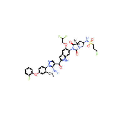 Cc1cc(Oc2ccccc2F)ccc1-n1ncc(C(=O)c2cc3cc(OCC(F)F)c(N4C(=O)[C@@H]5CC(NS(=O)(=O)CCCF)CN5C4=O)cc3[nH]2)c1N